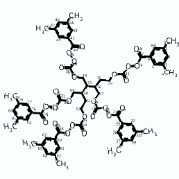 Cc1cc(C)cc(C(=O)OOC(=O)OCCC(COC(=O)OOC(=O)c2cc(C)cc(C)c2)C(COC(=O)OOC(=O)c2cc(C)cc(C)c2)C(CCOC(=O)OOC(=O)c2cc(C)cc(C)c2)COC(=O)OOC(=O)c2cc(C)cc(C)c2)c1